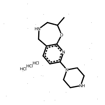 CC1CNCc2ccc(N3CCNCC3)nc2O1.Cl.Cl.Cl